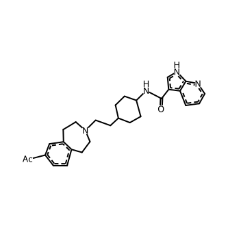 CC(=O)c1ccc2c(c1)CCN(CCC1CCC(NC(=O)c3c[nH]c4ncccc34)CC1)CC2